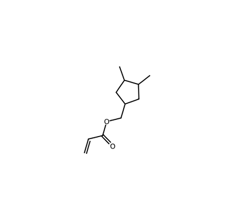 C=CC(=O)OCC1CC(C)C(C)C1